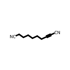 N#CC#CCCCCCCC#N